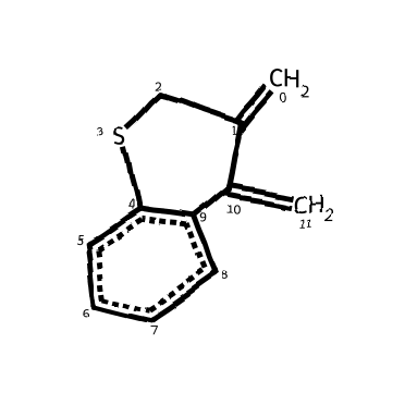 C=C1CSc2ccccc2C1=C